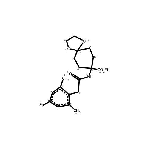 CCOC(=O)C1(NC(=O)Cc2c(C)cc(Cl)cc2C)CCC2(CC1)OCCO2